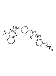 CN(C)c1nc(N[C@H]2CC[C@@H](NC(=S)Nc3cccc(SC(F)(F)F)c3)CC2)nc2c1CCCC2